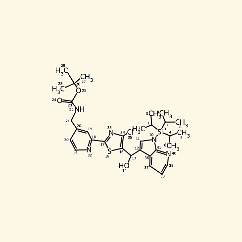 CC(C)[Si](C(C)C)(C(C)C)n1cc(C(O)c2sc(-c3cc(CNC(=O)OC(C)(C)C)ccn3)nc2Cl)c2cccnc21